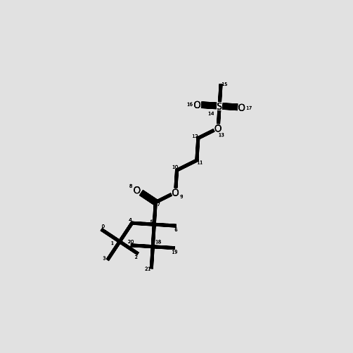 CC(C)(C)CC(C)(C(=O)OCCCOS(C)(=O)=O)C(C)(C)C